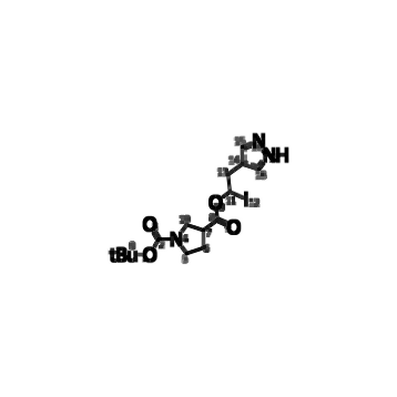 CC(C)(C)OC(=O)N1CCC(C(=O)OC(I)Cc2cn[nH]c2)C1